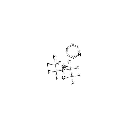 O=P(O)(C(F)(F)C(F)(F)F)C(F)(F)C(F)(F)F.c1ccncc1